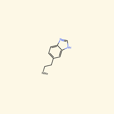 CNCCc1ccc2nc[nH]c2c1